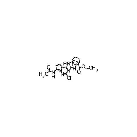 CCOC(=O)[C@@H]1C2CCC(CC2)[C@H]1Nc1nc(Cl)nn2c(NC(C)=O)ccc12